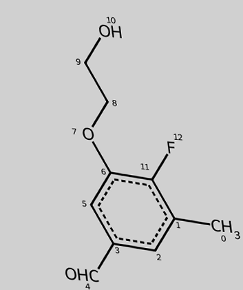 Cc1cc(C=O)cc(OCCO)c1F